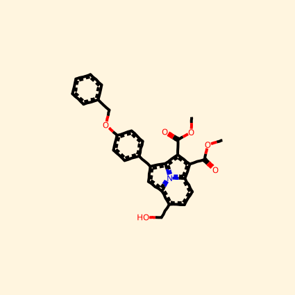 COC(=O)c1c(C(=O)OC)c2c(-c3ccc(OCc4ccccc4)cc3)cc3c(CO)ccc1n32